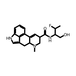 CC(F)C(CO)NC(=O)C1C=C2c3cccc4[nH]cc(c34)CC2N(C)C1